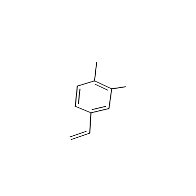 C=Cc1ccc(C(C)(C)C)c(C)c1